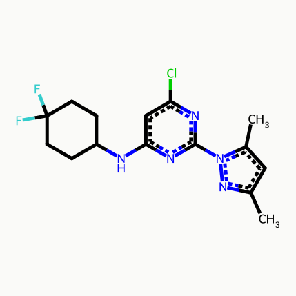 Cc1cc(C)n(-c2nc(Cl)cc(NC3CCC(F)(F)CC3)n2)n1